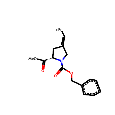 CCC/C=C1\C[C@@H](C(=O)OC)N(C(=O)OCc2ccccc2)C1